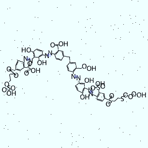 O=C(O)c1cc(Cc2ccc(/N=N/c3ccc(O)c(/N=N/c4ccc(S(=O)(=O)CCSOOOO)cc4S(=O)(=O)O)c3O)c(COO)c2)ccc1/N=N/c1ccc(O)c(/N=N/c2ccc(S(=O)(=O)CCOS(=O)(=O)O)cc2S(=O)(=O)O)c1O